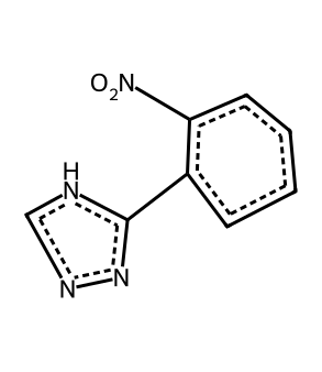 O=[N+]([O-])c1ccccc1-c1nnc[nH]1